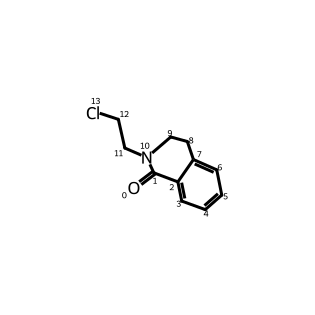 O=C1c2ccccc2CCN1CCCl